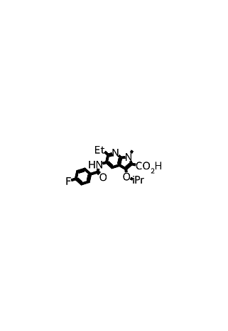 CCc1nc2c(cc1NC(=O)c1ccc(F)cc1)c(OC(C)C)c(C(=O)O)n2C